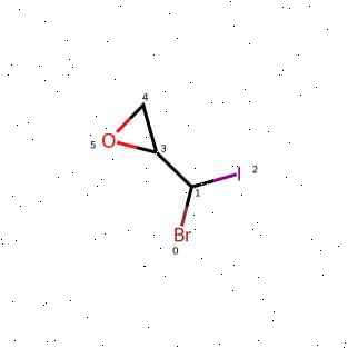 BrC(I)C1CO1